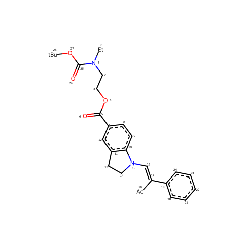 CCN(CCOC(=O)c1ccc2c(c1)CCN2/C=C(\C(C)=O)c1ccccc1)C(=O)OC(C)(C)C